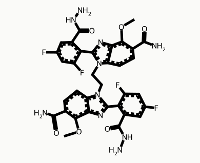 COc1c(C(N)=O)ccc2c1nc(-c1c(F)cc(F)cc1C(=O)NN)n2CCn1c(-c2c(F)cc(F)cc2C(=O)NN)nc2c(OC)c(C(N)=O)ccc21